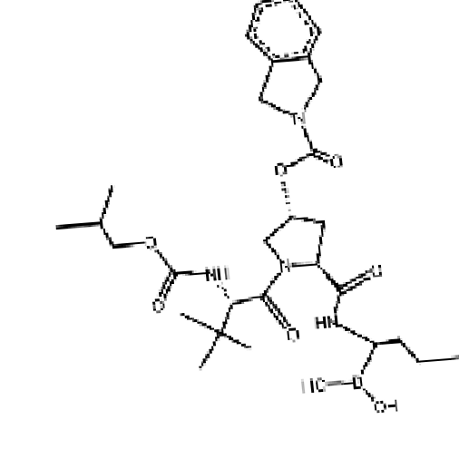 CCC[C@H](NC(=O)[C@@H]1C[C@@H](OC(=O)N2Cc3ccccc3C2)CN1C(=O)[C@@H](NC(=O)OCC(C)C)C(C)(C)C)B(O)O